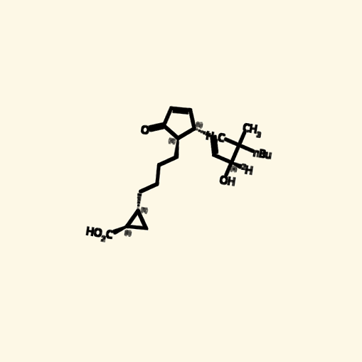 [2H][C@@](O)(C=C[C@H]1C=CC(=O)[C@@H]1CCCC[C@@H]1C[C@H]1C(=O)O)C(C)(C)CCCC